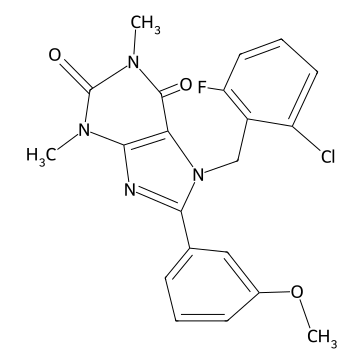 COc1cccc(-c2nc3c(c(=O)n(C)c(=O)n3C)n2Cc2c(F)cccc2Cl)c1